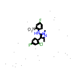 Cc1nn(C)c(Nc2ccc(F)cc2[N+](=O)[O-])c1-c1ccc(F)cc1Cl